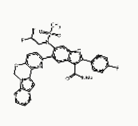 CNC(=O)c1c(-c2ccc(F)cc2)oc2cc(N(CC(F)F)S(C)(=O)=O)c(-c3ccc4c(n3)-c3cc5ccccc5n3CO4)cc12